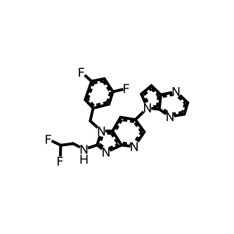 Fc1cc(F)cc(Cn2c(NCC(F)F)nc3ncc(-n4ccc5nccnc54)cc32)c1